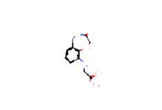 CN1Cc2cccc(NCC(=O)O)c2OCC1=O